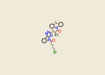 CCC(Sc1nnc2c3ccccc3n(C(=O)CCCCBr)c2n1)C(=O)N1c2ccccc2Sc2ccccc21